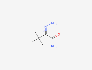 CC(C)(C)/C(=N/N)C(N)=O